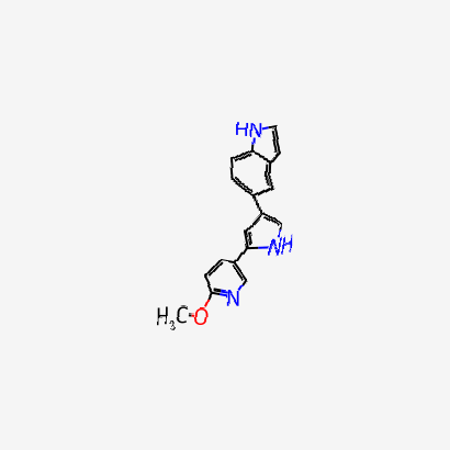 COc1ccc(-c2cc(-c3ccc4[nH]ccc4c3)c[nH]2)cn1